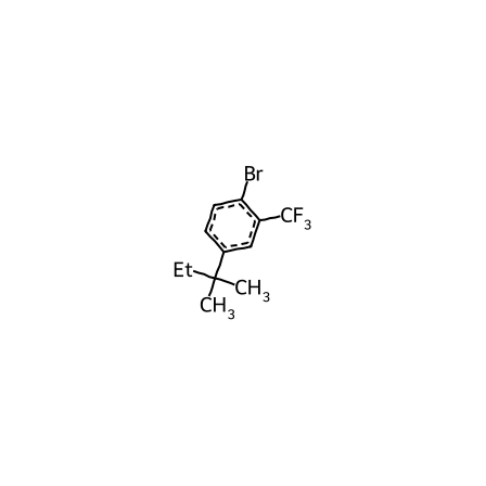 CCC(C)(C)c1ccc(Br)c(C(F)(F)F)c1